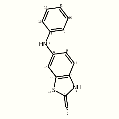 S=c1[nH]c2ccc(Nc3ccccc3)cc2s1